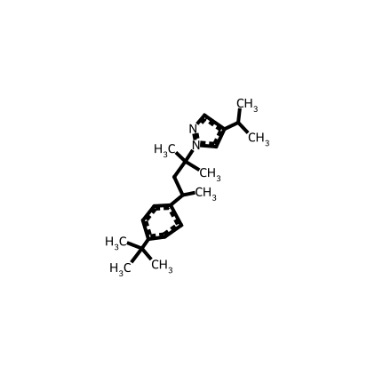 CC(C)c1cnn(C(C)(C)CC(C)c2ccc(C(C)(C)C)cc2)c1